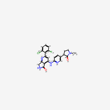 CN1CCC(c2ccc(Nc3cc(-c4c(F)cccc4Cl)nc4c3C(=O)NC4)nc2)C1=O